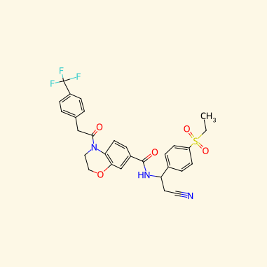 CCS(=O)(=O)c1ccc(C(CC#N)NC(=O)c2ccc3c(c2)OCCN3C(=O)Cc2ccc(C(F)(F)F)cc2)cc1